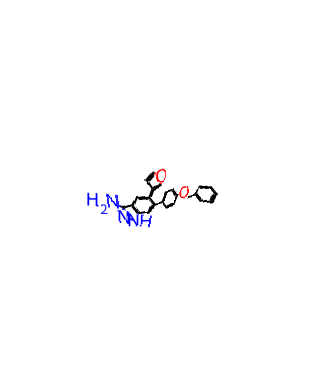 Nc1n[nH]c2cc(-c3ccc(OCc4ccccc4)cc3)c(-c3ccoc3)cc12